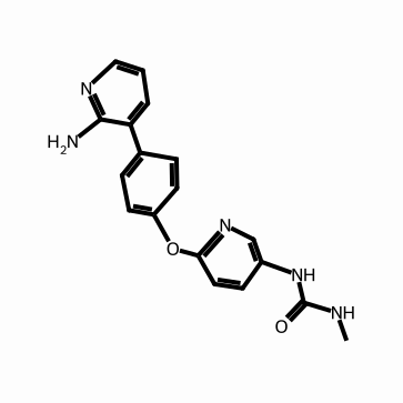 CNC(=O)Nc1ccc(Oc2ccc(-c3cccnc3N)cc2)nc1